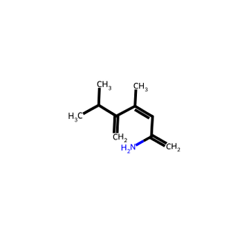 C=C(N)C=C(C)C(=C)C(C)C